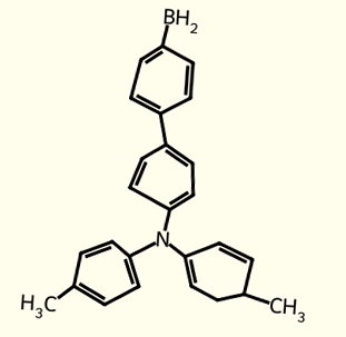 Bc1ccc(-c2ccc(N(C3=CCC(C)C=C3)c3ccc(C)cc3)cc2)cc1